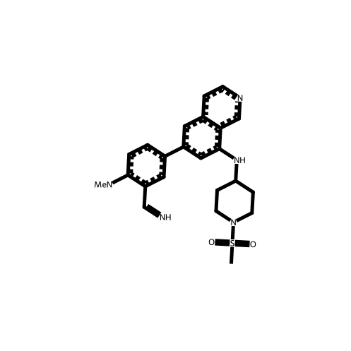 CNc1ccc(-c2cc(NC3CCN(S(C)(=O)=O)CC3)c3cnccc3c2)cc1C=N